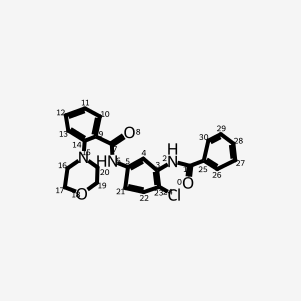 O=C(Nc1cc(NC(=O)c2ccccc2N2CCOCC2)ccc1Cl)c1ccccc1